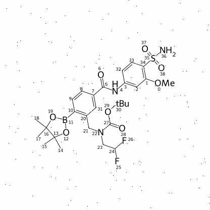 COc1cc(NC(=O)c2ccc(B3OC(C)(C)C(C)(C)O3)c(CN(CC(F)F)C(=O)OC(C)(C)C)c2)ccc1S(N)(=O)=O